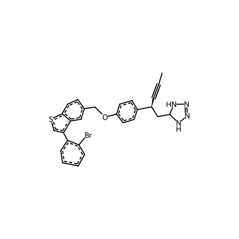 CC#C[C@@H](CC1NN=NN1)c1ccc(OCc2ccc3scc(-c4ccccc4Br)c3c2)cc1